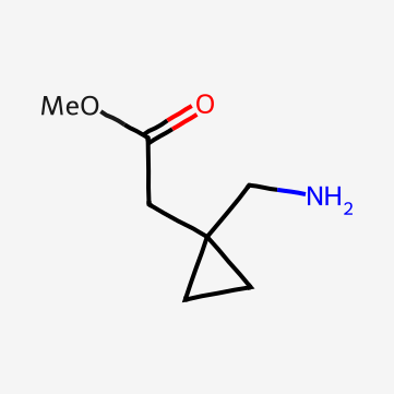 COC(=O)CC1(CN)CC1